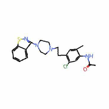 CC(=O)Nc1cc(Cl)c(CCN2CCN(c3nsc4ccccc34)CC2)cc1C